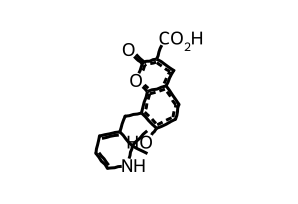 CC1(C)NC=CC=C1Cc1c(O)ccc2cc(C(=O)O)c(=O)oc12